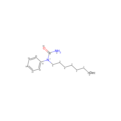 CCCCCCCCCCCCCCCCN(C(N)=O)c1ccccc1